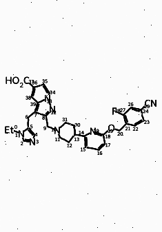 CCn1cncc1Cc1c(CN2CCC(c3cccc(OCc4ccc(C#N)cc4F)n3)CC2)nn2ccc(C(=O)O)cc12